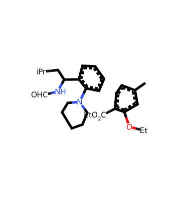 CC(C)CC(NC=O)c1ccccc1N1CCCCC1.CCOC(=O)c1ccc(C)cc1OCC